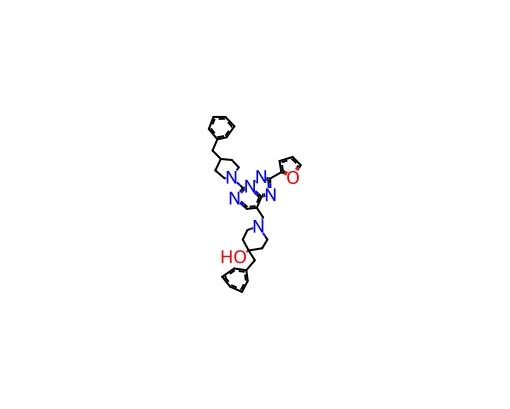 OC1(Cc2ccccc2)CCN(Cc2cnc(N3CCC(Cc4ccccc4)CC3)n3nc(-c4ccco4)nc23)CC1